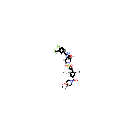 Cc1cc(C(=O)N2CCC(C)(O)CC2)cc(C)c1/C=C/S(=O)(=O)N1CCC2(CC1)N=C(c1ccc(F)c(C(F)F)c1)NC2=O